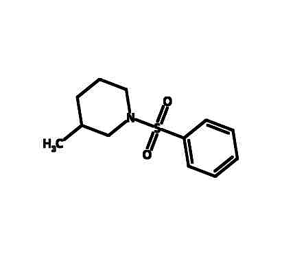 CC1CCCN(S(=O)(=O)c2ccccc2)C1